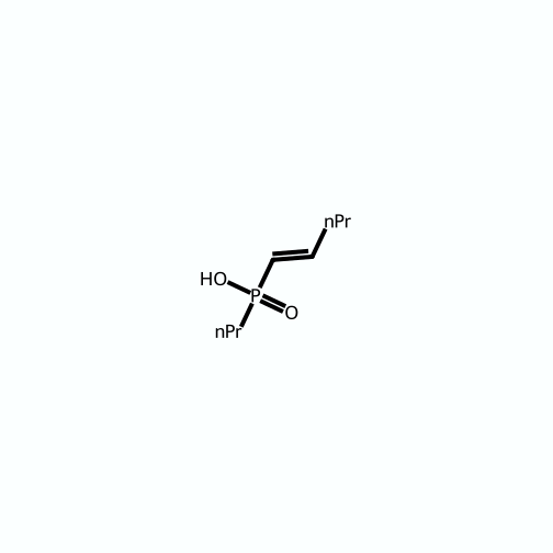 CCCC=CP(=O)(O)CCC